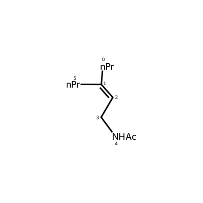 CCCC(=CCNC(C)=O)CCC